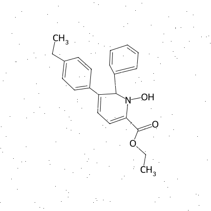 CCOC(=O)C1=CC=C(c2ccc(CC)cc2)C(c2ccccc2)N1O